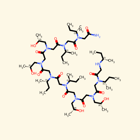 CC[C@H](C)NCC(=O)N(CC(=O)N(CC(=O)N(CC(=O)N(CC(=O)N(CC(=O)N(CC(=O)N(CC(=O)N(CC(=O)N(CC(N)=O)[C@@H](C)CC)[C@@H](C)CC)C[C@@H](C)O)C[C@@H](C)O)[C@@H](C)CC)[C@@H](C)CC)C[C@@H](C)O)C[C@@H](C)O)[C@@H](C)CC